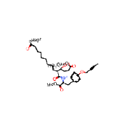 CC#CCOc1ccc(C[C@H](NC(=O)[C@@H](/C=C/CCCCCCC(=O)CCCCCCC)[C@@](O)(CCC(=O)OC)C(=O)O)C(=O)OC)cc1